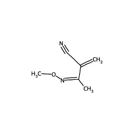 C=C(C#N)/C(C)=N\OC